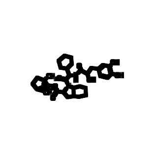 CC1(C)C2CCC1(C)C(OC(=O)C1CC3CCCCC3N1C(=O)C(NC(=O)C(O)Cc1ccc(O)c(O)c1)C1CCCCC1)C2